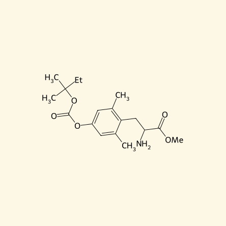 CCC(C)(C)OC(=O)Oc1cc(C)c(CC(N)C(=O)OC)c(C)c1